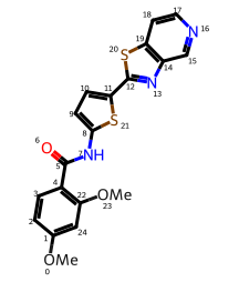 COc1ccc(C(=O)Nc2ccc(-c3nc4cnccc4s3)s2)c(OC)c1